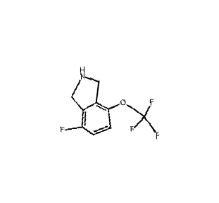 Fc1ccc(OC(F)(F)F)c2c1CNC2